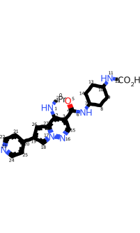 CC(C)Nc1c(C(=O)NC2CCC(NC(=O)O)CC2)cnn2cc(-c3ccncc3)cc12